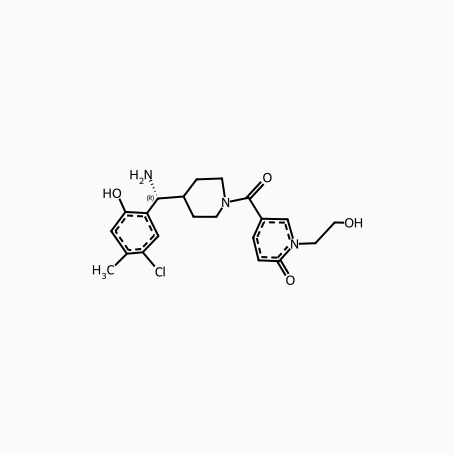 Cc1cc(O)c([C@H](N)C2CCN(C(=O)c3ccc(=O)n(CCO)c3)CC2)cc1Cl